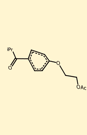 CC(=O)OCCOc1ccc(C(=O)C(C)C)cc1